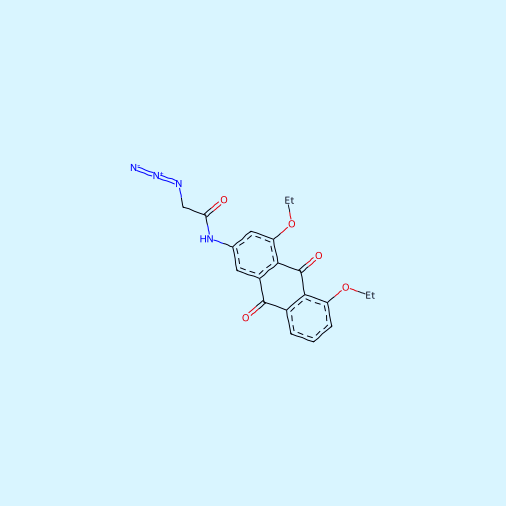 CCOc1cccc2c1C(=O)c1c(OCC)cc(NC(=O)CN=[N+]=[N-])cc1C2=O